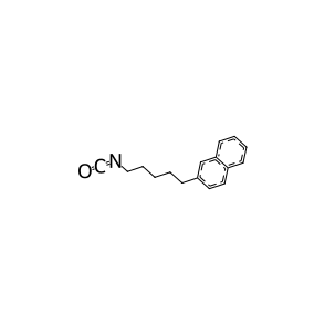 O=C=NCCCCCc1ccc2ccccc2c1